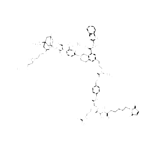 Cc1c(-c2ccc(N3CCc4cc(CCCN(C)C(=O)OCc5ccc(NC(=O)[C@H](CCCNC(N)=O)NC(=O)C(NC(=O)CCCCCN6C(=O)C=CC6=O)C(C)C)cc5)cc(C(=O)Nc5nc6ccccc6s5)c4C3)nc2C(=O)O)cnn1CC12CC3(C)CC(C)(C1)CC(OCCNCCS(=O)(=O)O)(C3)C2